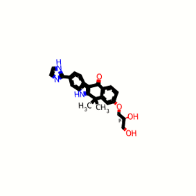 CC1(C)c2cc(OC[C@H](O)CO)ccc2C(=O)c2c1[nH]c1cc(-c3ncc[nH]3)ccc21